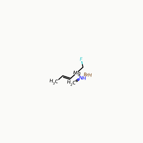 Br.C=N.CC=[CH][Mg][CH2]F